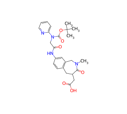 CN1Cc2cc(NC(=O)CN(C(=O)OC(C)(C)C)c3ccccn3)ccc2CC(CC(=O)O)C1=O